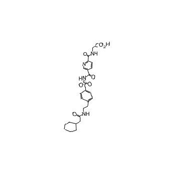 O=C(O)CNC(=O)c1ccc(C(=O)NS(=O)(=O)c2ccc(CCNC(=O)CC3CCCCC3)cc2)cn1